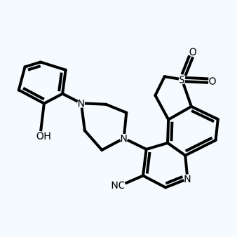 N#Cc1cnc2ccc3c(c2c1N1CCN(c2ccccc2O)CC1)CCS3(=O)=O